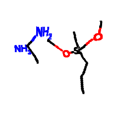 CCC[Si](C)(OC)OC.CCN.N